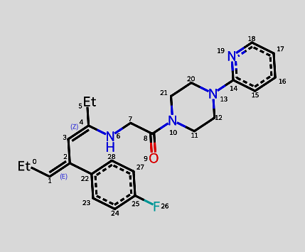 CC/C=C(\C=C(\CC)NCC(=O)N1CCN(c2ccccn2)CC1)c1ccc(F)cc1